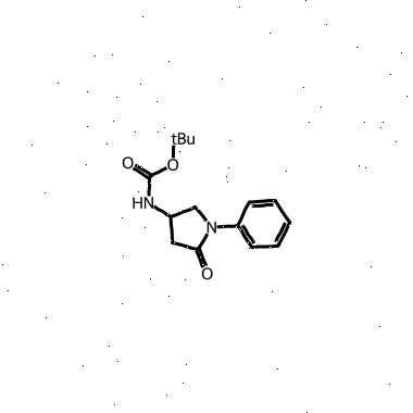 CC(C)(C)OC(=O)NC1CC(=O)N(c2ccccc2)C1